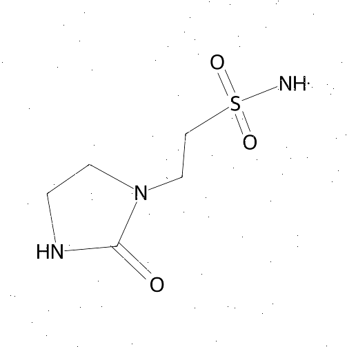 [NH]S(=O)(=O)CCN1CCNC1=O